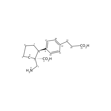 NC[C@@]1(C(=O)O)CCCC[C@H]1c1ccc(CCC(=O)O)cc1